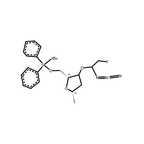 C[C@H]1CC(OC(CF)N=[N+]=[N-])[C@@H](CO[Si](c2ccccc2)(c2ccccc2)C(C)(C)C)O1